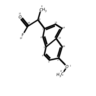 COc1ccc2cc(C(C)C(=O)F)ccc2c1